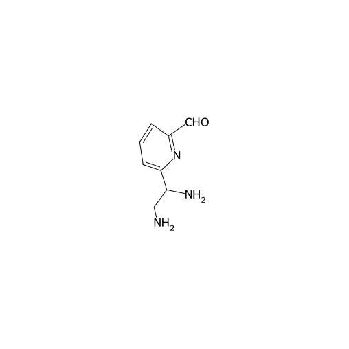 NCC(N)c1cccc(C=O)n1